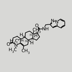 CC1=C2N(C)C(=O)CC[C@]2(C)[C@H]2CC[C@]3(C)[C@@H](C(=O)NCc4cc5ccccn5n4)CC[C@H]3[C@@H]2C1